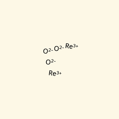 [O-2].[O-2].[O-2].[Re+3].[Re+3]